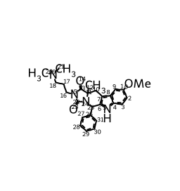 COc1ccc2[nH]c3c(c2c1)CC1(C)C(=O)N(CCCN(C)C)C(=O)N1C3c1ccccc1